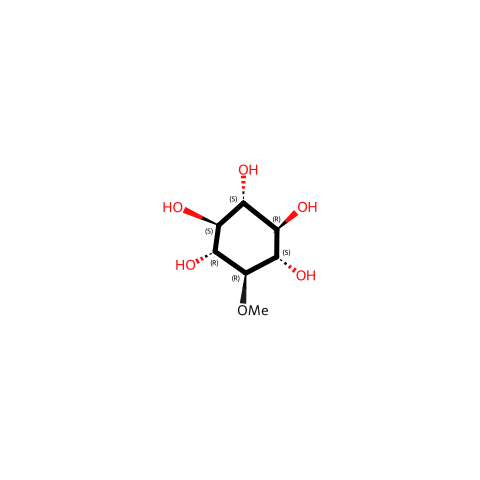 CO[C@H]1[C@H](O)[C@@H](O)[C@H](O)[C@@H](O)[C@@H]1O